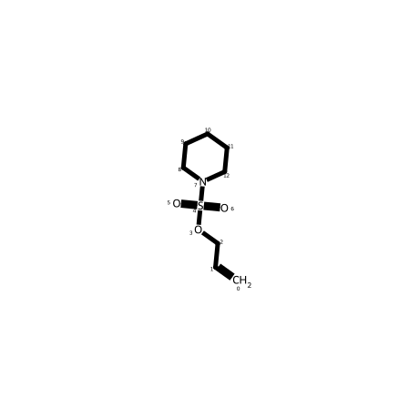 C=CCOS(=O)(=O)N1CCCCC1